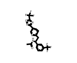 CC(=O)NC(Cc1ccc(-c2noc(C(F)(F)F)n2)cn1)c1cccc(C(F)(F)F)c1